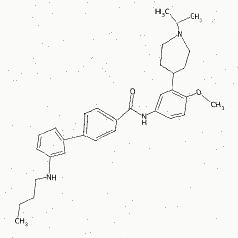 CCCCNc1cccc(-c2ccc(C(=O)Nc3ccc(OC)c(C4CCN(C(C)C)CC4)c3)cc2)c1